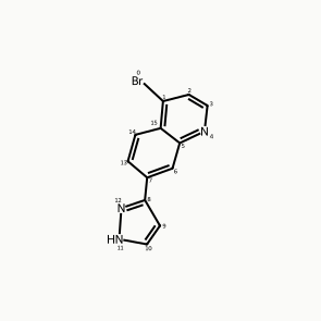 Brc1ccnc2cc(-c3cc[nH]n3)ccc12